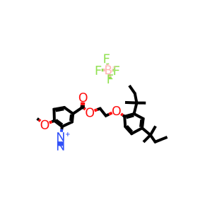 CCC(C)(C)c1ccc(OCCOC(=O)c2ccc(OC)c([N+]#N)c2)c(C(C)(C)CC)c1.F[B-](F)(F)F